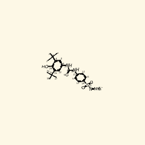 CC(C)(C)c1cc(NC(=O)Nc2ccc(S(=O)(=O)N=[N+]=[N-])cc2)cc(C(C)(C)C)c1O